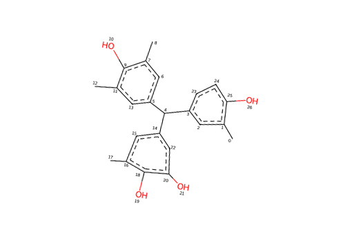 Cc1cc(C(c2cc(C)c(O)c(C)c2)c2cc(C)c(O)c(O)c2)ccc1O